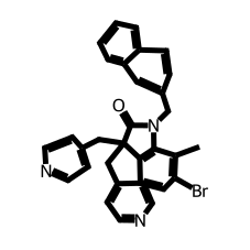 Cc1c(Br)ccc2c1N(Cc1ccc3ccccc3c1)C(=O)C2(Cc1ccncc1)Cc1ccncc1